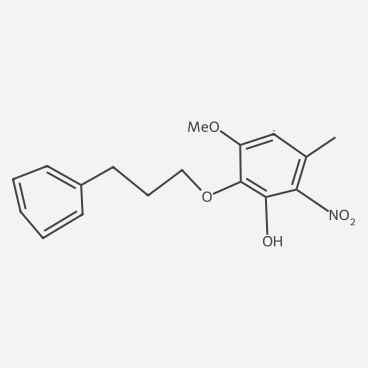 COc1[c]c(C)c([N+](=O)[O-])c(O)c1OCCCc1ccccc1